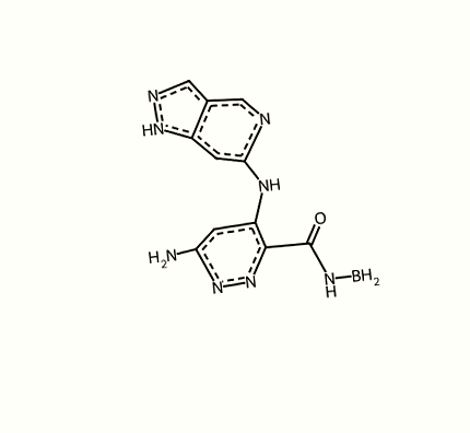 BNC(=O)c1nnc(N)cc1Nc1cc2[nH]ncc2cn1